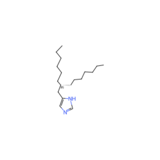 CCCCCCC[C@@H](CCCCCC)Cc1cnc[nH]1